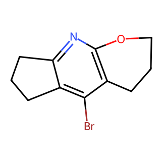 Brc1c2c(nc3c1CCCO3)CCC2